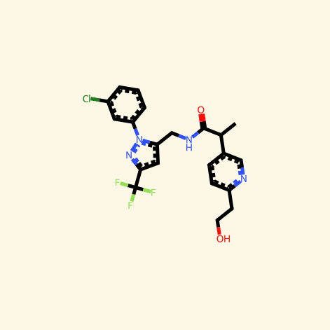 CC(C(=O)NCc1cc(C(F)(F)F)nn1-c1cccc(Cl)c1)c1ccc(CCO)nc1